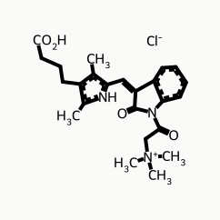 Cc1[nH]c(/C=C2\C(=O)N(C(=O)C[N+](C)(C)C)c3ccccc32)c(C)c1CCCC(=O)O.[Cl-]